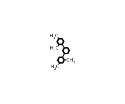 Cc1ccc(-c2cccc(-c3ccc(C)cc3C)c2)c(C)c1